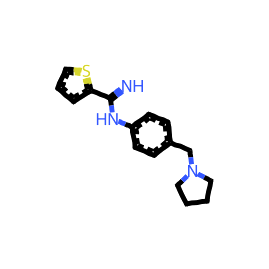 N=C(Nc1ccc(CN2CCCC2)cc1)c1cccs1